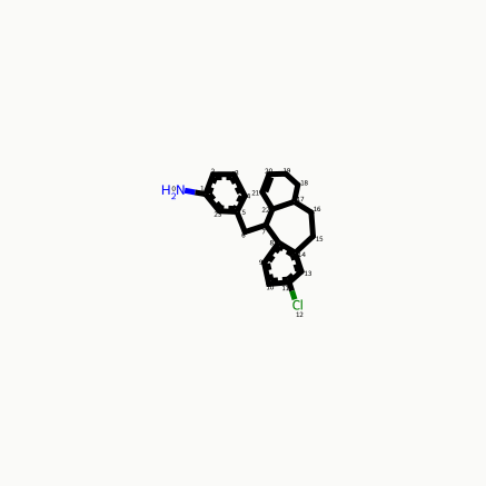 Nc1cccc(CC2c3ccc(Cl)cc3CCC3CCC=CC32)c1